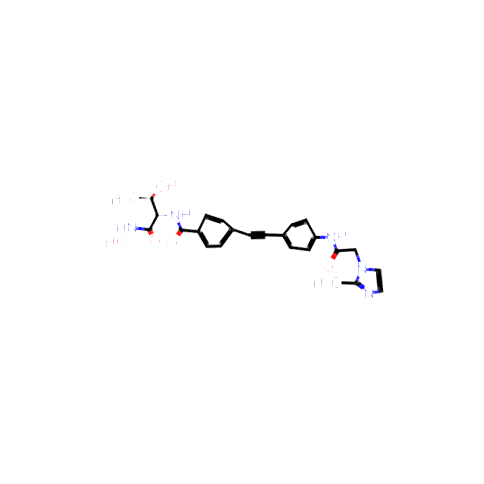 Cc1nccn1CC(=O)Nc1ccc(C#Cc2ccc(C(=O)N[C@H](C(=O)NO)[C@@H](C)O)cc2)cc1